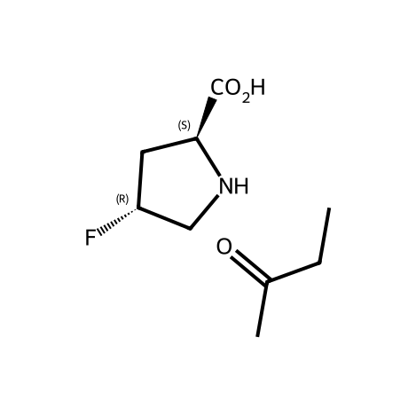 CCC(C)=O.O=C(O)[C@@H]1C[C@@H](F)CN1